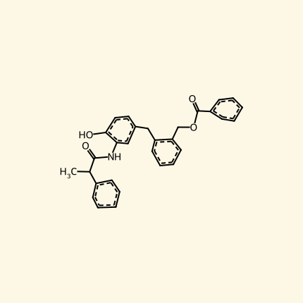 CC(C(=O)Nc1cc(Cc2ccccc2COC(=O)c2ccccc2)ccc1O)c1ccccc1